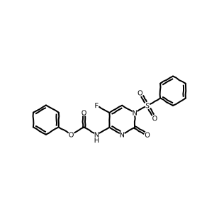 O=C(Nc1nc(=O)n(S(=O)(=O)c2ccccc2)cc1F)Oc1ccccc1